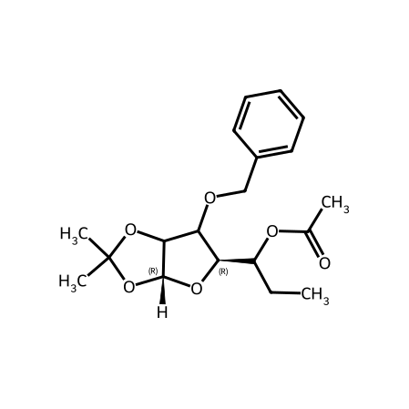 CCC(OC(C)=O)[C@H]1O[C@@H]2OC(C)(C)OC2C1OCc1ccccc1